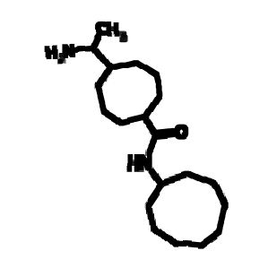 CC(N)C1CCCC(C(=O)NC2CCCCCCCC2)CCC1